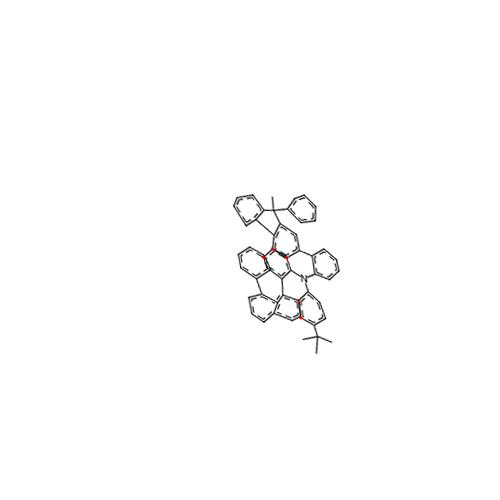 CC(C)(C)c1ccc(N(c2ccccc2-c2ccc3c(c2)C(C)(c2ccccc2)c2ccccc2-3)c2ccccc2-c2cccc3cccc(-c4ccccc4)c23)cc1